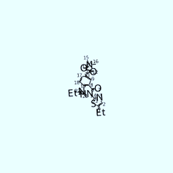 CCc1cnc(NC(=O)c2cc(S(=O)(=O)N(C)C)ccc2N(C)CC)s1